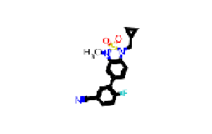 CN1c2cc(-c3cc(C#N)ccc3F)ccc2N(CC2CC2)S1(=O)=O